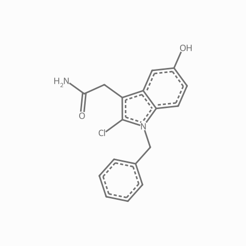 NC(=O)Cc1c(Cl)n(Cc2ccccc2)c2ccc(O)cc12